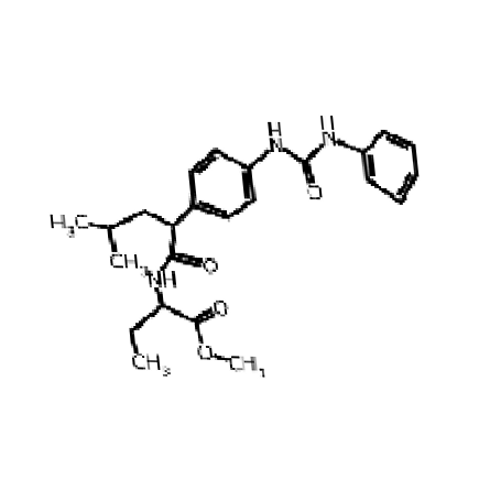 CCC(NC(=O)C(CC(C)C)c1ccc(NC(=O)Nc2ccccc2)cc1)C(=O)OC